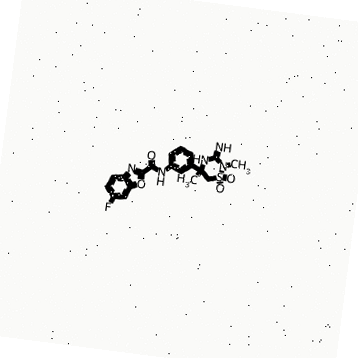 CN1C(=N)NC(C)(c2cccc(NC(=O)c3nc4ccc(F)cc4o3)c2)CS1(=O)=O